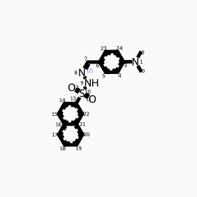 CN(C)c1ccc(/C=N\NS(=O)(=O)c2ccc3ccccc3c2)cc1